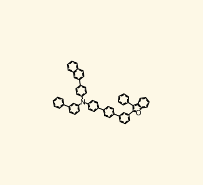 c1ccc(-c2cccc(N(c3ccc(-c4ccc(-c5cccc(-c6oc7ccccc7c6-c6ccccc6)c5)cc4)cc3)c3ccc(-c4ccc5ccccc5c4)cc3)c2)cc1